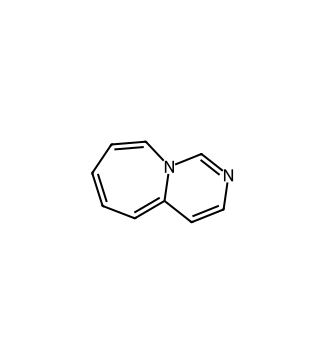 C1=CC=C2C=CN=CN2C=C1